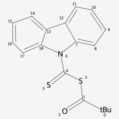 CC(C)(C)C(=O)SC(=S)n1c2ccccc2c2ccccc21